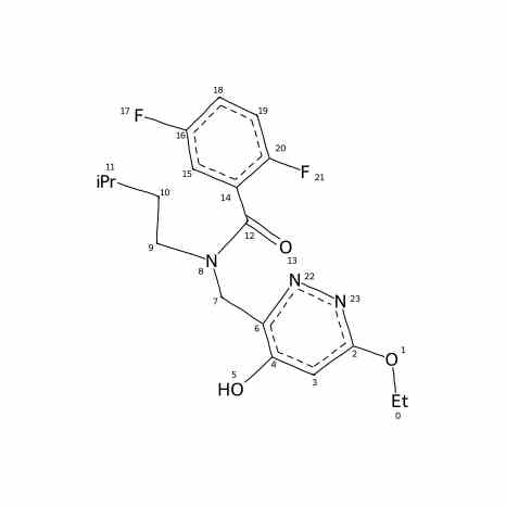 CCOc1cc(O)c(CN(CCC(C)C)C(=O)c2cc(F)ccc2F)nn1